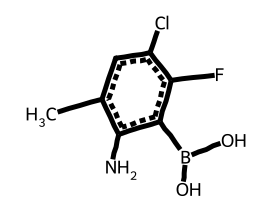 Cc1cc(Cl)c(F)c(B(O)O)c1N